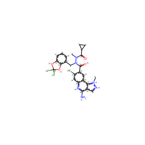 CN(C(=O)C1CC1)N(Cc1cccc2c1OC(F)(F)O2)C(=O)c1cc2c(cc1F)nc(N)c1cnn(C)c12